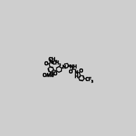 COc1ccc(C(=O)N(C)C)cc1C1(O)CCC(N2CC[C@@H](NC(=O)CNC(=O)c3cccc(C(F)(F)F)c3)C2)CC1